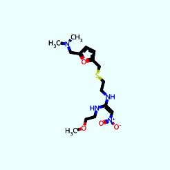 COCCNC(=C[N+](=O)[O-])NCCSCc1ccc(CN(C)C)o1